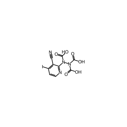 N#Cc1c(I)ccnc1N(C(=O)O)N(C(=O)O)C(=O)O